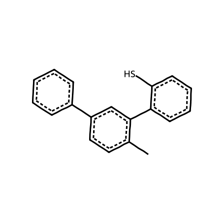 Cc1ccc(-c2ccccc2)cc1-c1ccccc1S